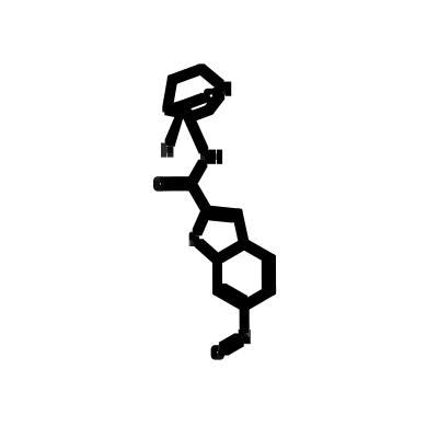 O=NC1=CC2SC(C(=O)N[C@H]3CN4CCC3CC4)=CC2C=C1